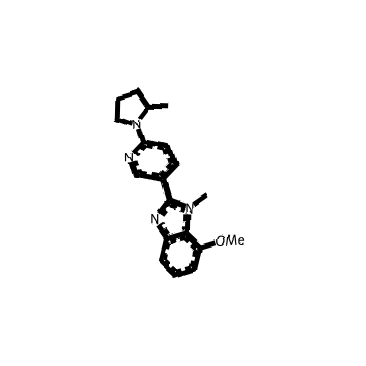 COc1cccc2nc(-c3ccc(N4CCCC4C)nc3)n(C)c12